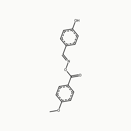 COc1ccc(C(=O)O/N=C/c2ccc(O)cc2)cc1